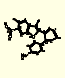 Cc1cc2c(C)c(-c3ccccc3-c3ccccc3)oc2cc1[S-](=O)=O.[Na+]